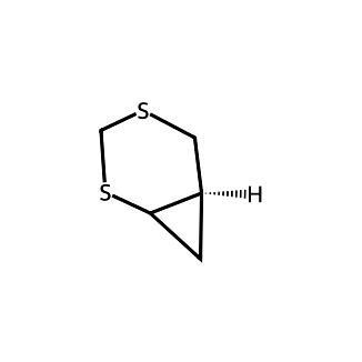 C1SC[C@H]2CC2S1